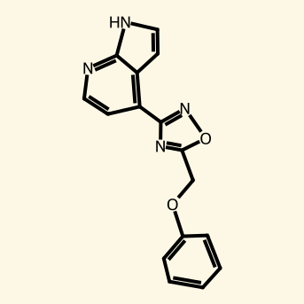 c1ccc(OCc2nc(-c3ccnc4[nH]ccc34)no2)cc1